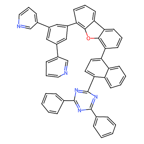 c1ccc(-c2nc(-c3ccccc3)nc(-c3ccc(-c4cccc5c4oc4c(-c6cc(-c7cccnc7)cc(-c7cccnc7)c6)cccc45)c4ccccc34)n2)cc1